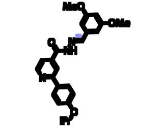 COc1cc(/C=N/NC(=O)c2ccnc(-c3ccc(OC(C)C)cc3)c2)cc(OC)c1